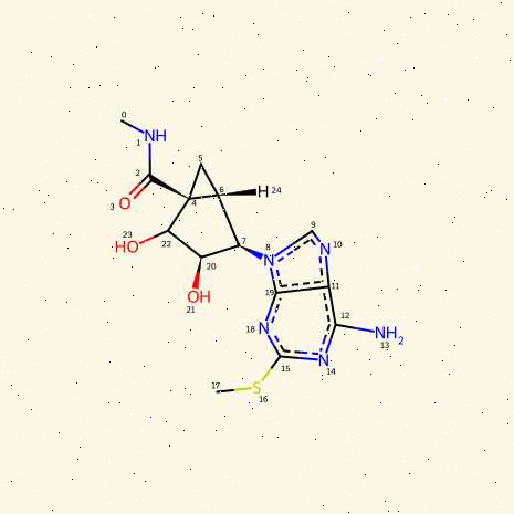 CNC(=O)[C@@]12C[C@@H]1[C@@H](n1cnc3c(N)nc(SC)nc31)[C@@H](O)C2O